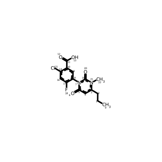 CCCc1cc(=O)n(-c2cc(C(=O)O)c(Cl)cc2F)c(=O)n1C